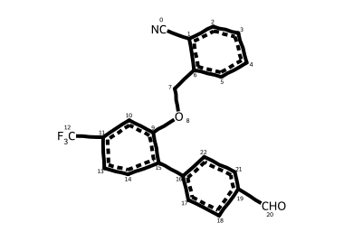 N#Cc1ccccc1COc1cc(C(F)(F)F)ccc1-c1ccc(C=O)cc1